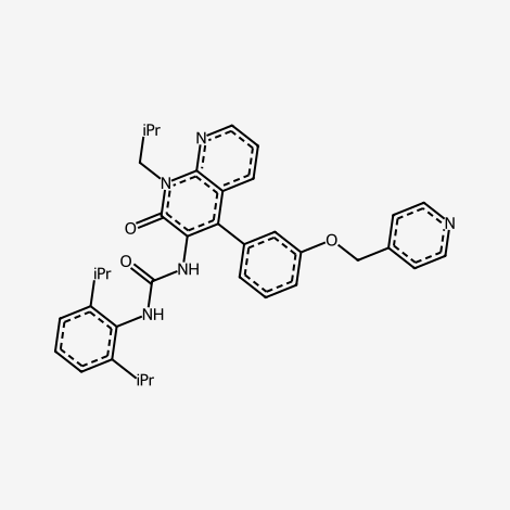 CC(C)Cn1c(=O)c(NC(=O)Nc2c(C(C)C)cccc2C(C)C)c(-c2cccc(OCc3ccncc3)c2)c2cccnc21